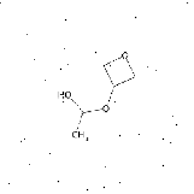 CC(O)OC1COC1